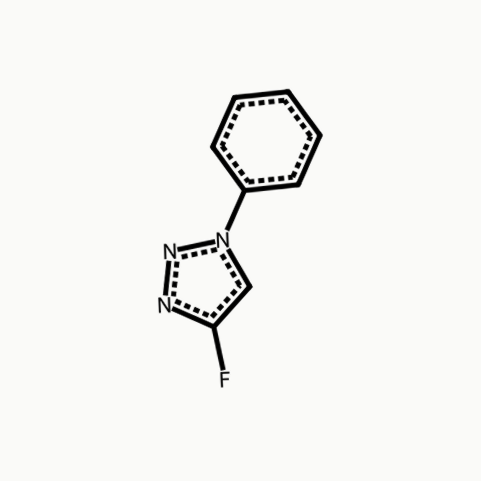 Fc1cn(-c2ccccc2)nn1